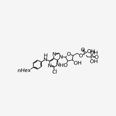 CCCCCCc1ccc(Nc2nc(Cl)nc3c2ncn3C2OC(COP(=O)(O)CP(=O)(O)O)C(O)C2O)cc1